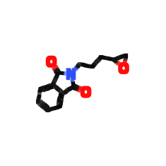 O=C1c2ccccc2C(=O)N1CCCC1CO1